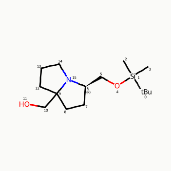 CC(C)(C)[Si](C)(C)OC[C@H]1CCC2(CO)CCCN12